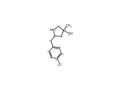 CC1(O)CNC(Cc2ccc(Cl)cc2)C1